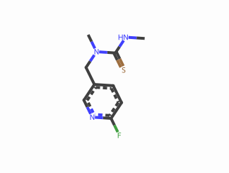 CNC(=S)N(C)Cc1ccc(F)nc1